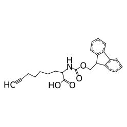 C#CCCCCCC(NC(=O)OCC1c2ccccc2-c2ccccc21)C(=O)O